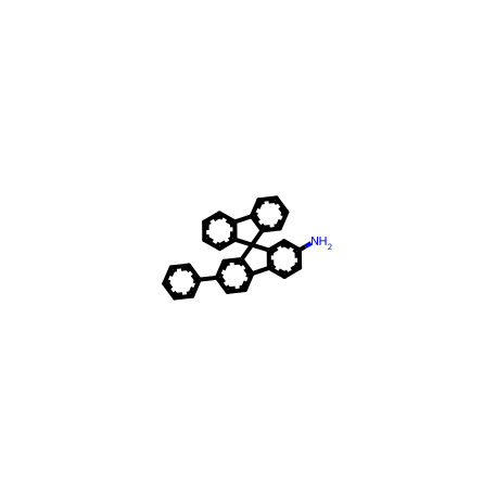 Nc1ccc2c(c1)C1(c3ccccc3-c3ccccc31)c1cc(-c3ccccc3)ccc1-2